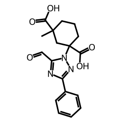 CC1(C(=O)O)CCCC(C(=O)O)(n2nc(-c3ccccc3)nc2C=O)C1